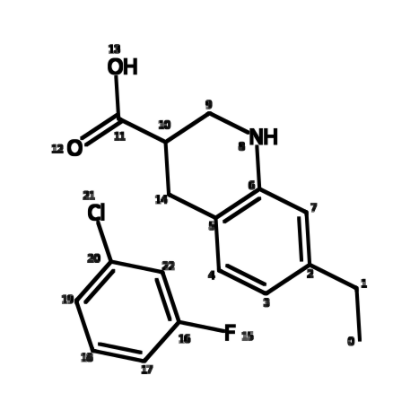 CCc1ccc2c(c1)NCC(C(=O)O)C2.Fc1cccc(Cl)c1